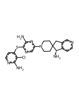 Nc1nc(N2CCC3(CC2)Cc2cnccc2[C@H]3N)cnc1Sc1ccnc(N)c1Cl